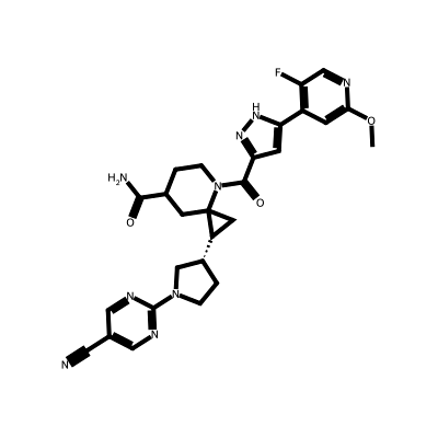 COc1cc(-c2cc(C(=O)N3CCC(C(N)=O)CC34CC4[C@@H]3CCN(c4ncc(C#N)cn4)C3)n[nH]2)c(F)cn1